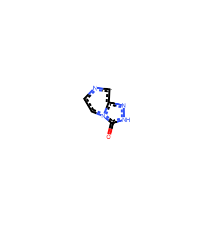 O=c1[nH]nc2[c]nccn12